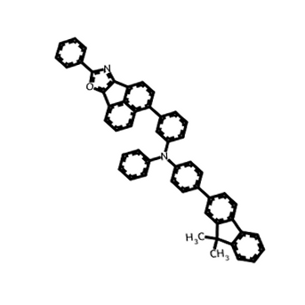 CC1(C)c2ccccc2-c2ccc(-c3ccc(N(c4ccccc4)c4cccc(-c5ccc6c7c(cccc57)-c5oc(-c7ccccc7)nc5-6)c4)cc3)cc21